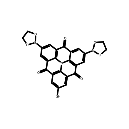 O=c1c2cc(S)cc3c(=O)c4cc(B5OCCO5)cc5c(=O)c6cc(B7OCCO7)cc1c6n(c23)c45